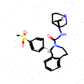 CS(=O)(=O)c1ccc([C@H]2c3ccccc3CCN2C(=O)NC2CN3CCC2CC3)cc1